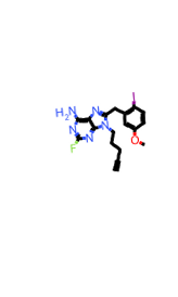 C#CCCCn1c(Cc2cc(OC)ccc2I)nc2c(N)nc(F)nc21